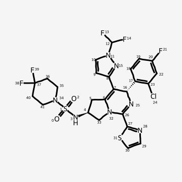 O=S(=O)(N[C@H]1CC2=C(c3ccn(C(F)F)n3)[C@H](c3ccc(F)cc3Cl)N=C(c3nccs3)N2C1)N1CCC(F)(F)CC1